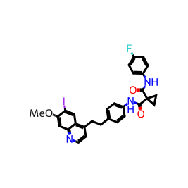 COc1cc2nccc(CCc3ccc(NC(=O)C4(C(=O)Nc5ccc(F)cc5)CC4)cc3)c2cc1I